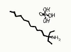 CCCCCCCCCCCC(N)(CC)CC.O=P(O)(O)O